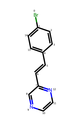 Brc1ccc(/C=C/c2cnccn2)cc1